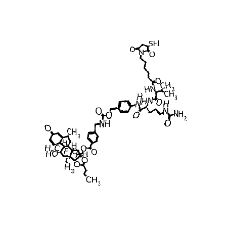 CCCC1O[C@@H]2C[C@H]3[C@@H]4C[C@H](C)C5=CC(=O)C=C[C@]5(C)[C@@]4(F)[C@@H](O)C[C@]3(C)[C@]2(C(=O)COC(=O)c2ccc(CNC(=O)OCc3ccc(NC(=O)[C@H](CCCNC(N)=O)NC(=O)[C@@H](NC(=O)CCCCCN4C(=O)CC(S)C4=O)C(C)C)cc3)cc2)O1